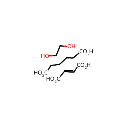 O=C(O)C=CC(=O)O.O=C(O)CCCCC(=O)O.OCCO